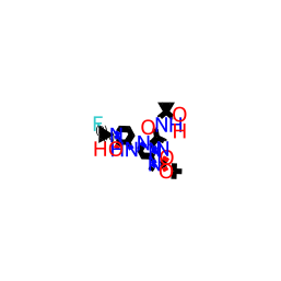 CN(C(=O)OC(C)(C)C)c1cc(NC2=CC=CN([C@@H]3C[C@H]3F)C2O)nc2c(C(=O)NCC3(CO)CC3)cnn12